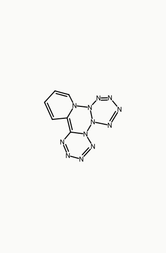 c1ccn2c(c1)c1nnnnn1n1nnnnn21